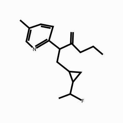 C=C(CCC)C(CC1CC1C(C)F)c1ccc(C)cn1